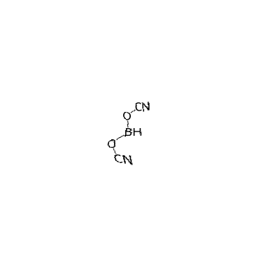 N#COBOC#N